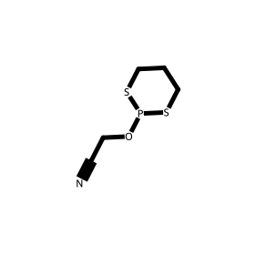 N#CCOP1SCCCS1